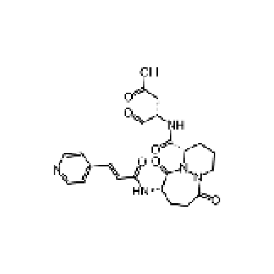 O=C[C@H](CC(=O)O)NC(=O)[C@@H]1CCCN2C(=O)CC[C@H](NC(=O)/C=C/c3ccncc3)C(=O)N12